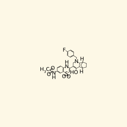 CS(=O)(=O)Nc1ccc2c(c1)S(=O)(=O)C=C(C1=C(O)C3C([C@@H]4CC[C@H]3C4)N(Cc3ccc(F)cc3)C1)N2